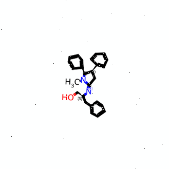 CN1/C(=N\[C@H](CO)Cc2ccccc2)C[C@H](c2ccccc2)[C@@H]1c1ccccc1